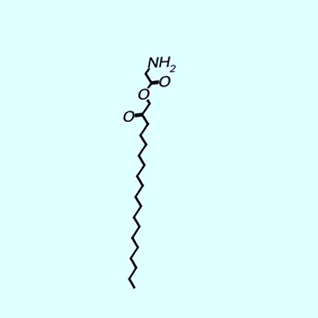 CCCCCCCCCCCCCCCCCC(=O)COC(=O)CN